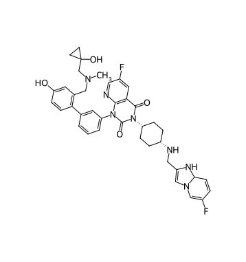 CN(Cc1cc(O)ccc1-c1cccc(-n2c(=O)n([C@H]3CC[C@@H](NCC4=CN5C=C(F)C=CC5N4)CC3)c(=O)c3cc(F)cnc32)c1)CC1(O)CC1